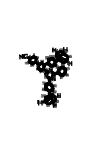 N#Cc1ccc(-c2ccc(-c3nc(-c4ccccc4)nc(-c4ccc(C56C[C@H]7C[C@@H](C5)C[C@@H](C6)C7)cc4)n3)c(-c3ccc(C45C[C@H]6C[C@@H](C4)C[C@@H](C5)C6)cc3)c2)cc1